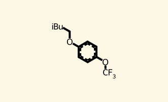 CCC(C)COc1ccc(OC(F)(F)F)cc1